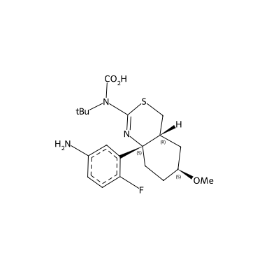 CO[C@H]1CC[C@]2(c3cc(N)ccc3F)N=C(N(C(=O)O)C(C)(C)C)SC[C@@H]2C1